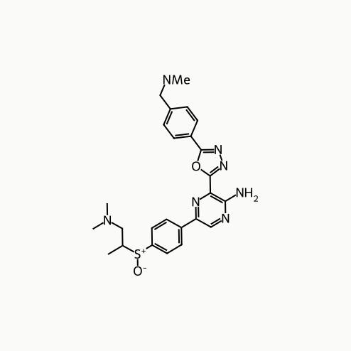 CNCc1ccc(-c2nnc(-c3nc(-c4ccc([S+]([O-])C(C)CN(C)C)cc4)cnc3N)o2)cc1